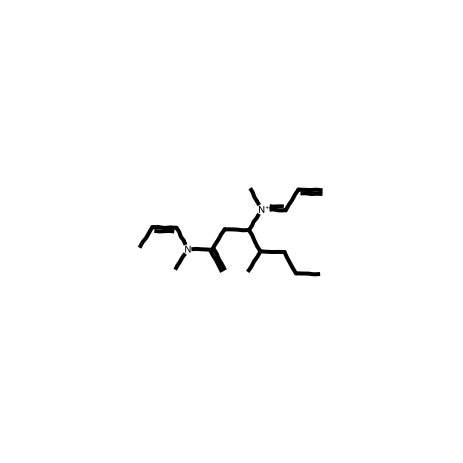 C=C/C=[N+](\C)C(CC(=C)N(C)/C=C\C)C(C)CCC